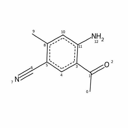 CC(=O)c1cc(C#N)c(C)cc1N